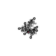 CCCCO[C@@H](CNC(=O)OCc1ccccc1)[C@H](OCCCC)C(=O)N[C@@H]1C[C@H](NC(=O)OCc2ccccc2)[C@@H](O[C@H]2O[C@H](CN(CCO)C(=O)OCc3ccccc3)[C@@H](O)C[C@H]2NC(=O)OCc2ccccc2)[C@H](O[C@@H]2O[C@H](CO)[C@@H](O[C@H]3O[C@H]4CN(C(=O)OCc5ccccc5)C(c5ccccc5)O[C@H]4[C@H](O)[C@H]3NC(=O)OCc3ccccc3)[C@H]2O)[C@H]1O